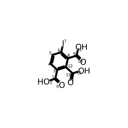 O=C(O)c1ccc(I)c(C(=O)O)c1C(=O)O